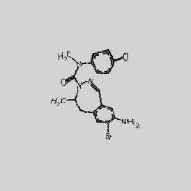 CC1Cc2cc(Br)c(N)cc2C=NN1C(=O)N(C)c1ccc(Cl)cc1